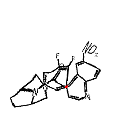 O=C(c1ccnc2ccc([N+](=O)[O-])cc12)N1CC2CCC(C1)N2c1ccc(F)c(F)c1